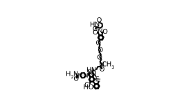 CN(CCOCCOCCOc1ccc2c(c1)C(=O)N(C1CCC(=O)NC1=O)C2=O)C(=O)CCNc1nc(N2CCN(C(N)=O)CC2)c2cc(Cl)c(-c3c(O)cccc3F)c(F)c2n1